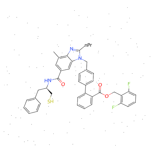 CCCc1nc2c(C)cc(C(=O)N[C@@H](CS)Cc3ccccc3)cc2n1Cc1ccc(-c2ccccc2C(=O)OCc2c(F)cccc2F)cc1